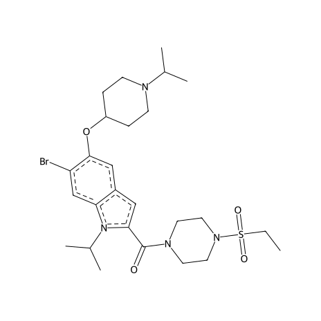 CCS(=O)(=O)N1CCN(C(=O)c2cc3cc(OC4CCN(C(C)C)CC4)c(Br)cc3n2C(C)C)CC1